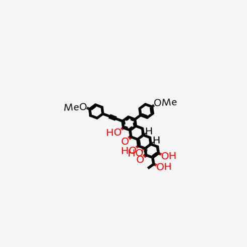 COC1=CC=C(c2cc(C#CC3CC=C(OC)CC3)c(O)c3c2C[C@H]2C[C@H]4CC(O)=C(C(C)O)C(=O)[C@@]4(O)C(O)=C2C3=O)CC1